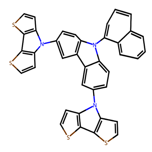 c1ccc2c(-n3c4ccc(-n5c6ccsc6c6sccc65)cc4c4cc(-n5c6ccsc6c6sccc65)ccc43)cccc2c1